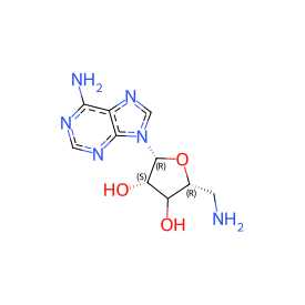 NC[C@H]1O[C@@H](n2cnc3c(N)ncnc32)[C@@H](O)C1O